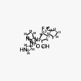 Cl.O=c1n(-c2ccc(-c3ccccc3C(F)(F)F)cc2)c2cccnc2n1C1CCNC1